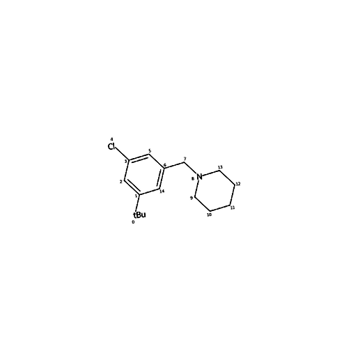 CC(C)(C)c1cc(Cl)cc(CN2CCCCC2)c1